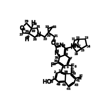 Oc1cc(-c2c(F)cc3c(N4CC5CCC(C4)N5)nc(OCC4(CN5C[C@H]6COC[C@@H]6C5)CC4)nc3c2F)c2c(F)c(F)ccc2c1